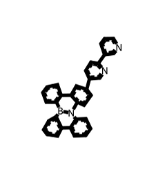 c1cncc(-c2ccc(-c3ccc4c(c3)-c3ccccc3B3c5ccccc5-c5ccccc5N34)cn2)c1